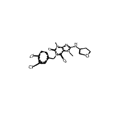 Cn1c(NC2CCOC2)nc2c1c(=O)n(Cc1ccc(Cl)c(Cl)c1)c(=O)n2C